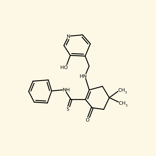 CC1(C)CC(=O)C(C(=S)Nc2ccccc2)=C(NCc2ccncc2O)C1